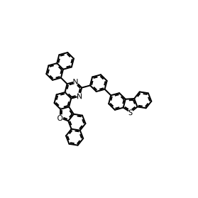 c1cc(-c2ccc3sc4ccccc4c3c2)cc(-c2nc(-c3cccc4ccccc34)c3ccc4oc5c6ccccc6ccc5c4c3n2)c1